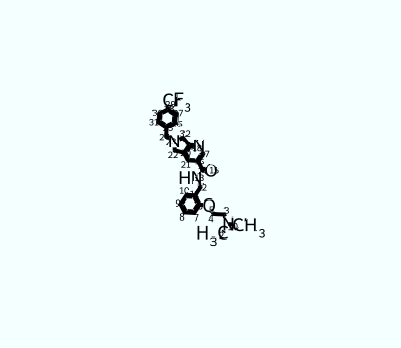 CN(C)CCOc1ccccc1CNC(=O)c1cnc2c(c1)CN(Cc1ccc(C(F)(F)F)cc1)C2